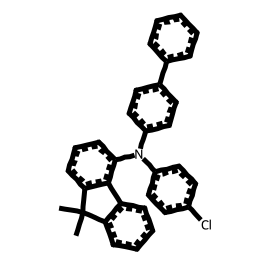 CC1(C)c2ccccc2-c2c(N(c3ccc(Cl)cc3)c3ccc(-c4ccccc4)cc3)cccc21